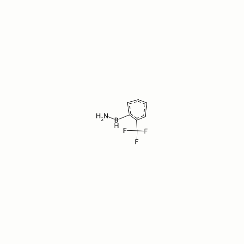 NBc1ccccc1C(F)(F)F